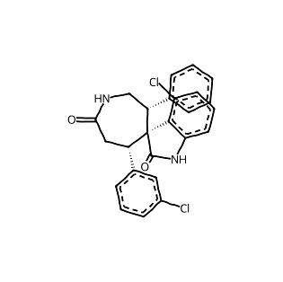 O=C1C[C@@H](c2cccc(Cl)c2)[C@]2(C(=O)Nc3cccc(Cl)c32)[C@@H](c2ccccc2)CN1